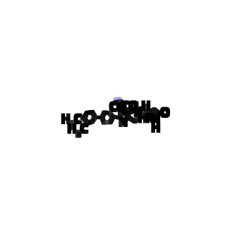 Cc1ccc(-c2ccc(-c3nc4ccn(Cc5cc(=O)[nH][nH]5)cc-4n3)cc2)cc1C.O=C(O)/C=C\C(=O)O